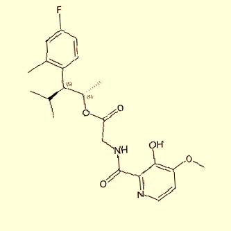 COc1ccnc(C(=O)NCC(=O)O[C@@H](C)[C@H](c2ccc(F)cc2C)C(C)C)c1O